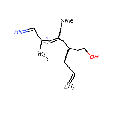 C=CCC(CO)/C(NC)=C(/C=N)[N+](=O)[O-]